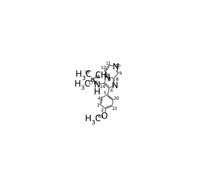 COc1ccc(-c2nc3cnccn3c2NC(C)(C)C)cc1